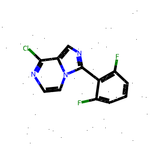 Fc1cccc(F)c1-c1ncc2c(Cl)nccn12